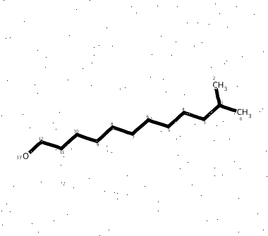 CC(C)CCCCCCCCCC[O]